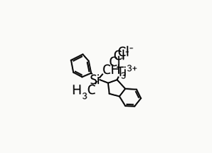 C[Si](C)(c1ccccc1)C1CC2C=CC=CC2[CH]1[Ti+3].[Cl-].[Cl-].[Cl-]